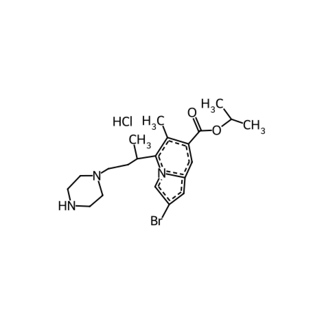 Cc1c(C(=O)OC(C)C)cc2cc(Br)cn2c1C(C)CCN1CCNCC1.Cl